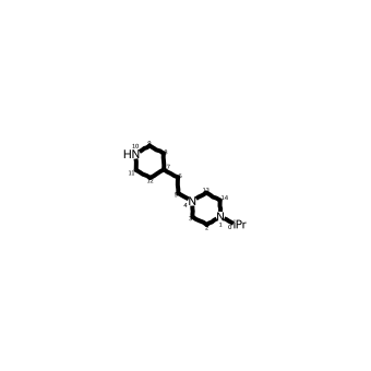 CC(C)N1CCN(CCC2CCNCC2)CC1